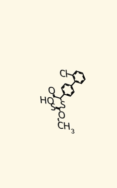 CCOC(=S)SC(C(=O)O)c1ccc(-c2ccccc2Cl)cc1